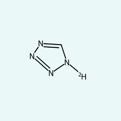 [2H]n1cnnn1